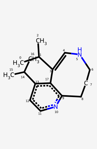 CC(C)/C1=C/NCCCc2nccc(C(C)C)c21